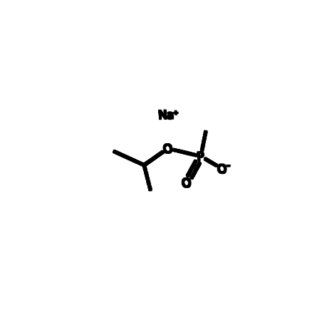 CC(C)OP(C)(=O)[O-].[Na+]